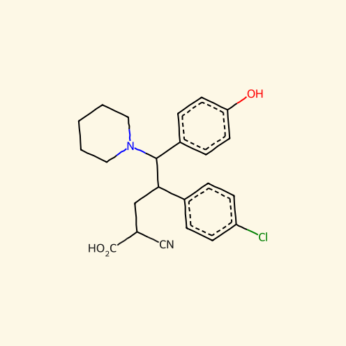 N#CC(CC(c1ccc(Cl)cc1)C(c1ccc(O)cc1)N1CCCCC1)C(=O)O